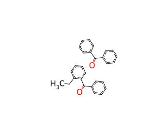 CCc1ccccc1C(=O)c1ccccc1.O=C(c1ccccc1)c1ccccc1